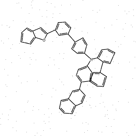 c1ccc(-c2ccccc2N(c2ccc(-c3cccc(-c4cc5ccccc5o4)c3)cc2)c2ccc(-c3ccc4ccccc4c3)cc2)cc1